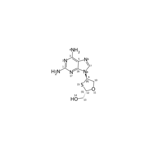 Nc1nc(N)c2ncn([C@H]3CO[C@H](CO)S3)c2n1